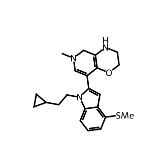 CSc1cccc2c1cc(C1=CN(C)CC3=C1OCCN3)n2CCC1CC1